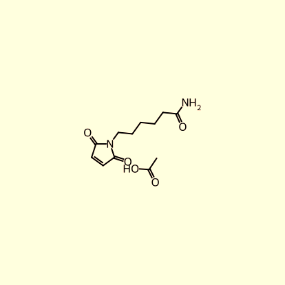 CC(=O)O.NC(=O)CCCCCN1C(=O)C=CC1=O